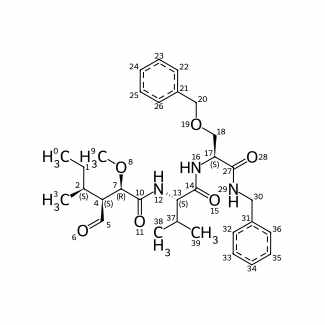 CC[C@H](C)[C@H](C=O)[C@@H](OC)C(=O)N[C@H](C(=O)N[C@@H](COCc1ccccc1)C(=O)NCc1ccccc1)C(C)C